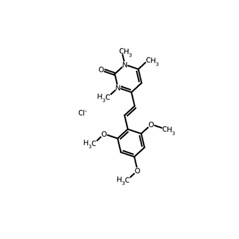 COc1cc(OC)c(C=Cc2cc(C)n(C)c(=O)[n+]2C)c(OC)c1.[Cl-]